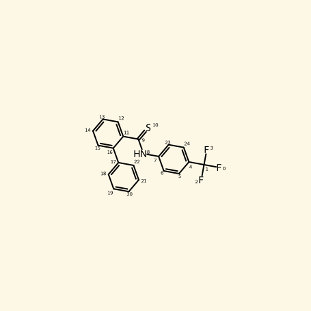 FC(F)(F)c1ccc(NC(=S)c2ccccc2-c2ccccc2)cc1